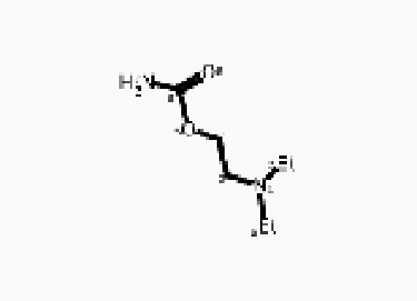 CCN(CC)CCOC(N)=O